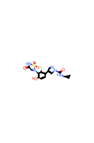 O=C1CN(c2c(O)ccc(-c3cnn(C(=O)NC4CC4)c3)c2F)S(=O)(=O)N1